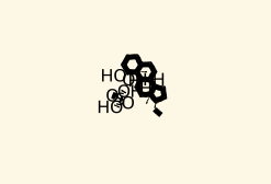 CC[C@H]1CC[C@H]2[C@@H]3CCC4CCCC(O)(O)[C@]4(C)[C@H]3CC[C@]12C.O=S(=O)(O)O